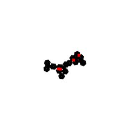 c1ccc(-c2ccccc2-c2ccccc2N(c2ccc(-c3ccc(-n4c5ccccc5c5ccccc54)cc3)cc2)c2ccc3cc(-c4ccc5c(c4)C4(c6ccccc6-5)c5ccccc5-n5c6ccccc6c6cccc4c65)ccc3c2)cc1